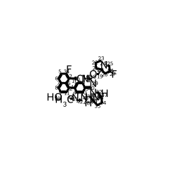 C#Cc1c(F)ccc2cc(O)cc(-c3cc4nc(OC[C@@]56CCCN5C[C@H](F)C6)nc(N5C[C@H]6CC[C@@H](C5)N6)c4c4ncn(C)c34)c12